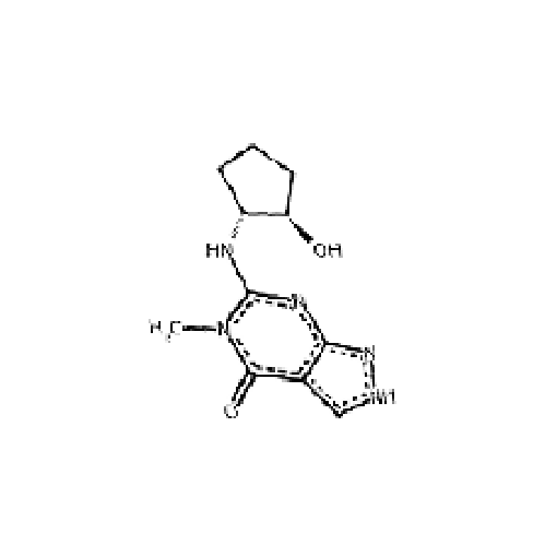 Cn1c(N[C@@H]2CCC[C@H]2O)nc2n[nH]cc2c1=O